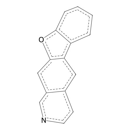 c1ccc2c(c1)oc1cc3cnccc3cc12